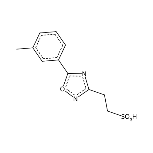 Cc1cccc(-c2nc(CCS(=O)(=O)O)no2)c1